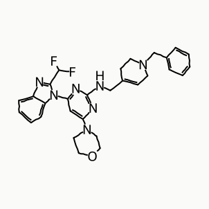 FC(F)c1nc2ccccc2n1-c1cc(N2CCOCC2)nc(NCC2=CCN(Cc3ccccc3)CC2)n1